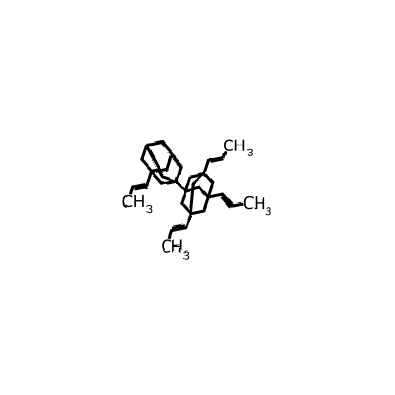 CC=CC12CC3CC(C1)CC(C14CC5(C=CC)CC(C=CC)(CC(C=CC)(C5)C1)C4)(C3)C2